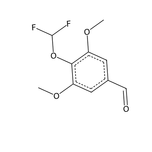 COc1cc(C=O)cc(OC)c1OC(F)F